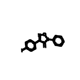 Ic1ccc(C2=NOB(c3ccccc3)N2)cc1